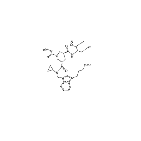 COCCCn1cc(CN(C(=O)[C@@H]2C[C@H](C(=O)NC(CC(C)C)C(C)O)CN(C(=O)OC(C)(C)C)C2)C2CC2)c2ccccc21